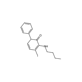 CCCCNC1=C(I)C=CC(c2ccccc2)C1=O